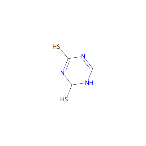 S[C]1N=C(S)N=CN1